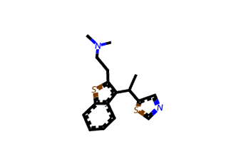 CC(c1cncs1)c1c(CCN(C)C)sc2ccccc12